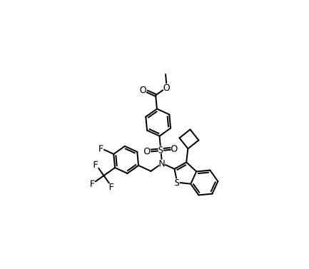 COC(=O)c1ccc(S(=O)(=O)N(Cc2ccc(F)c(C(F)(F)F)c2)c2sc3ccccc3c2C2CCC2)cc1